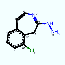 NNC1=NC=Cc2cccc(Cl)c2C1